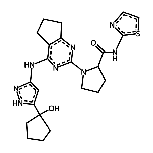 O=C(Nc1nccs1)C1CCCN1c1nc2c(c(Nc3cc(C4(O)CCCC4)[nH]n3)n1)CCC2